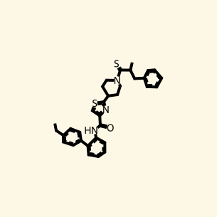 CCc1ccc(-c2ccccc2NC(=O)c2csc(C3CCN(C(=S)C(C)Cc4ccccc4)CC3)n2)cc1